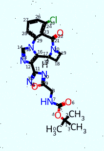 CC(C)(C)OC(=O)NCc1nc(-c2ncn3c2[C@@H]2CCN2C(=O)c2c(Cl)cccc2-3)no1